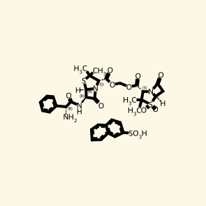 CC1(C)S[C@@H]2[C@H](NC(=O)[C@H](N)c3ccccc3)C(=O)N2[C@H]1C(=O)OCOC(=O)[C@@H]1N2C(=O)C[C@H]2S(=O)(=O)C1(C)C.O=S(=O)(O)c1ccc2ccccc2c1